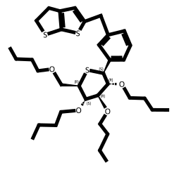 CCCCOC[C@H]1S[C@@H](c2cccc(Cc3cc4c(s3)SCC4)c2)[C@H](OCCCC)[C@@H](OCCCC)[C@@H]1OCCCC